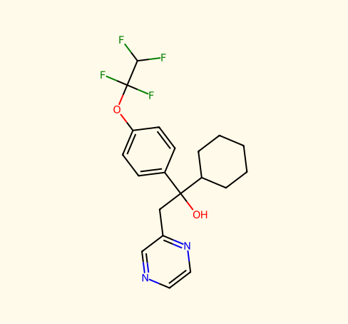 OC(Cc1cnccn1)(c1ccc(OC(F)(F)C(F)F)cc1)C1CCCCC1